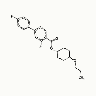 CCCO[C@H]1CC[C@H](OC(=O)c2ccc(-c3ccc(F)cc3)cc2F)CC1